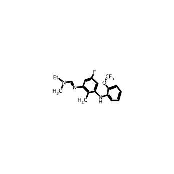 CCN(C)/C=N/c1cc(F)cc(Nc2ccccc2OC(F)(F)F)c1C